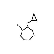 CC(C)N1CCCOC[C@@H]1OC1CC1